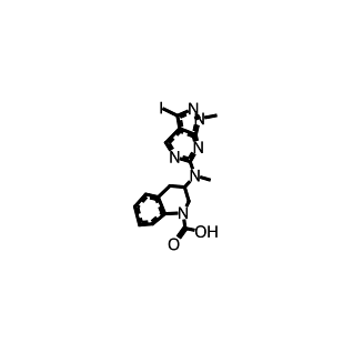 CN(c1ncc2c(I)nn(C)c2n1)C1Cc2ccccc2N(C(=O)O)C1